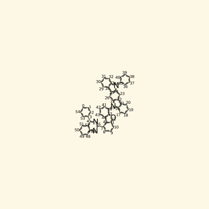 c1ccc(-c2nc(-c3cccc4oc5c(-n6c7ccccc7c7cc8c(cc76)c6ccccc6n8-c6ccccc6)cccc5c34)nc3ccccc23)cc1